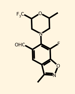 Cc1noc2c(F)c(N3CC(C)OC(C(F)(F)F)C3)c(C=O)cc12